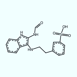 O=CNc1[nH]c2ccccc2c1NCCc1cccc(S(=O)(=O)O)c1